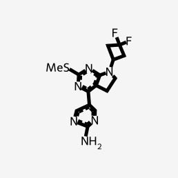 CSc1nc(-c2cnc(N)nc2)c2c(n1)N(C1CC(F)(F)C1)CC2